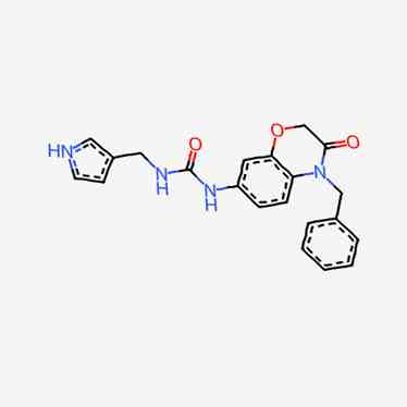 O=C(NCc1cc[nH]c1)Nc1ccc2c(c1)OCC(=O)N2Cc1ccccc1